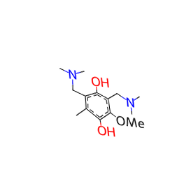 COc1c(O)c(C)c(CN(C)C)c(O)c1CN(C)C